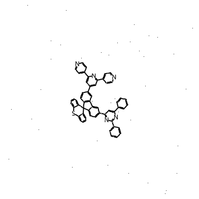 c1ccc(-c2cc(-c3ccc4c(c3)-c3cc(-c5cc(-c6ccncc6)nc(-c6ccncc6)c5)ccc3C43c4ccccc4Sc4ccccc43)nc(-c3ccccc3)n2)cc1